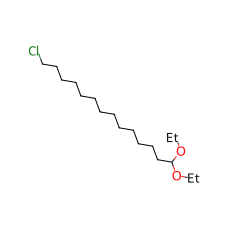 CCOC(CCCCCCCCCCCCCCl)OCC